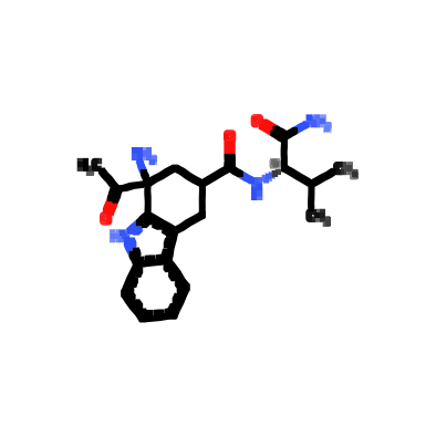 CC(=O)C1(N)CC(C(=O)N[C@H](C(N)=O)C(C)C)Cc2c1[nH]c1ccccc21